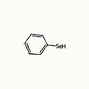 [SeH]c1cc[c]cc1